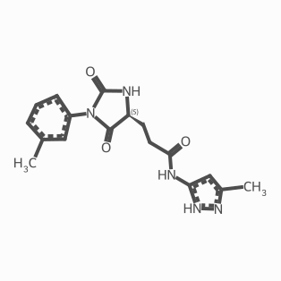 Cc1cccc(N2C(=O)N[C@@H](CCC(=O)Nc3cc(C)n[nH]3)C2=O)c1